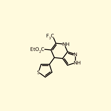 CCOC(=O)C1=C(C(F)(F)F)Nc2n[nH]cc2C1c1ccsc1